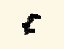 COc1ccc(CCC(=O)CC(=O)OCc2cccc(C#N)c2)cc1